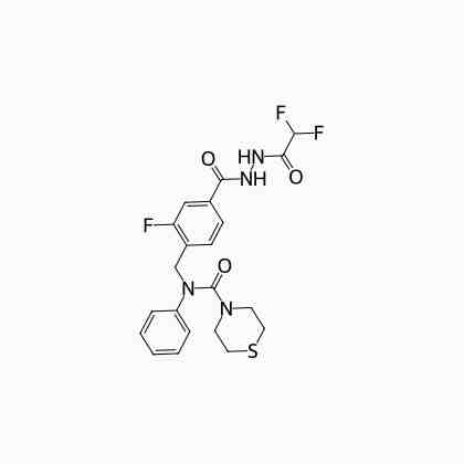 O=C(NNC(=O)C(F)F)c1ccc(CN(C(=O)N2CCSCC2)c2ccccc2)c(F)c1